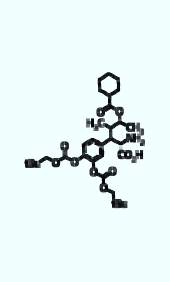 CC(OC(=O)C1CCCCC1)C(C)C(c1ccc(OC(=O)OCC(C)(C)C)c(OC(=O)OCC(C)(C)C)c1)[C@H](N)C(=O)O